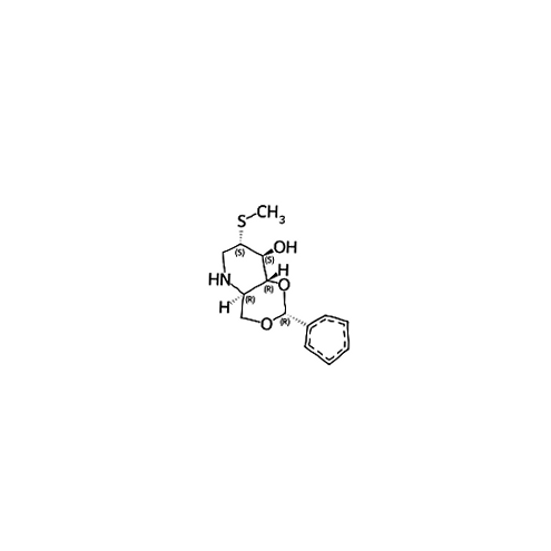 CS[C@H]1CN[C@@H]2CO[C@@H](c3ccccc3)O[C@H]2[C@@H]1O